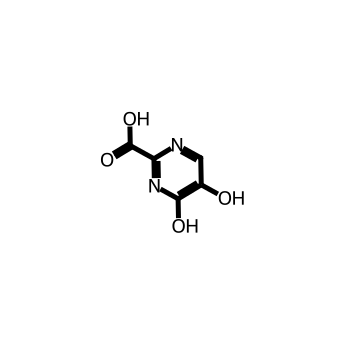 O=C(O)c1ncc(O)c(O)n1